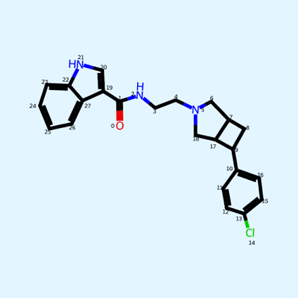 O=C(NCCN1CC2CC(c3ccc(Cl)cc3)C2C1)c1c[nH]c2ccccc12